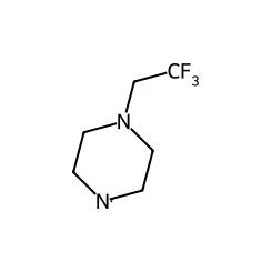 FC(F)(F)CN1CC[N]CC1